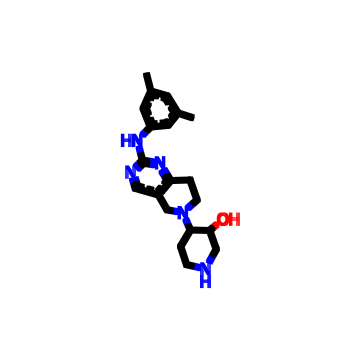 Cc1cc(C)cc(Nc2ncc3c(n2)CCN(C2CCNCC2O)C3)c1